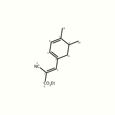 CCOC(=O)/C(C#N)=C/C1=CC=C(C)C(C)C1